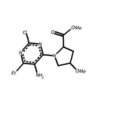 CCc1nc(Cl)nc(N2CC(OC)CC2C(=O)OC)c1N